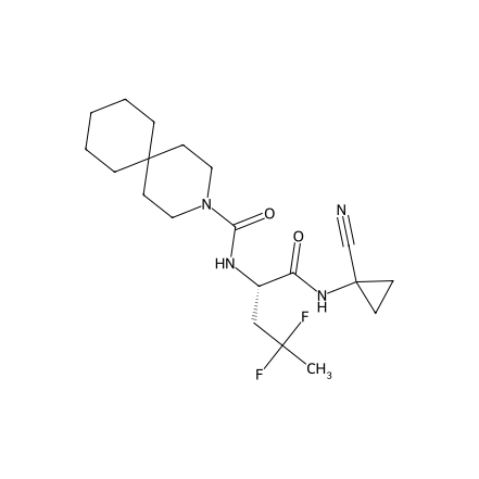 CC(F)(F)C[C@H](NC(=O)N1CCC2(CCCCC2)CC1)C(=O)NC1(C#N)CC1